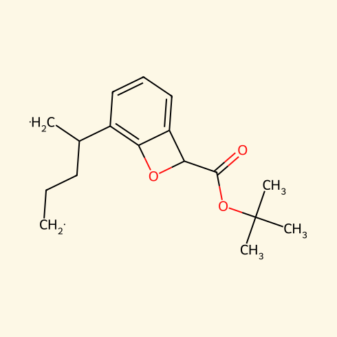 [CH2]CCC([CH2])c1cccc2c1OC2C(=O)OC(C)(C)C